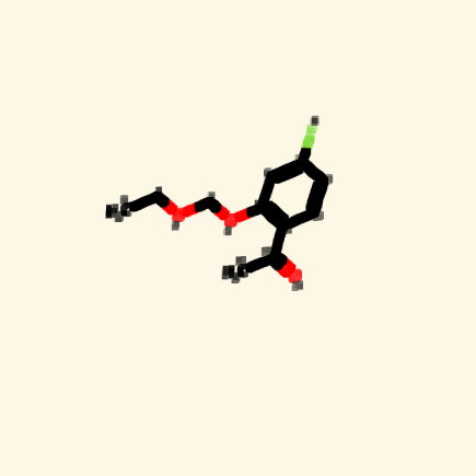 CCOCOc1cc(F)ccc1C(C)=O